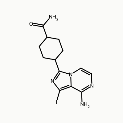 NC(=O)C1CCC(c2nc(I)c3c(N)nccn23)CC1